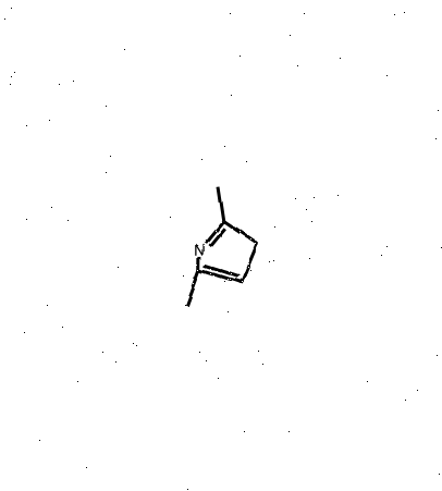 CC1=CCC(C)=N1